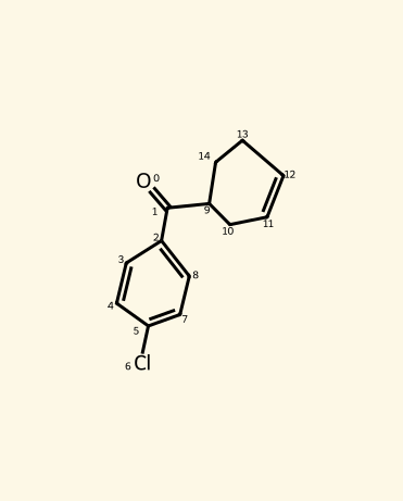 O=C(c1ccc(Cl)cc1)C1CC=CCC1